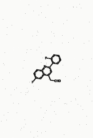 O=CCc1cc(-c2ccccc2F)nc2ccc(F)cc12